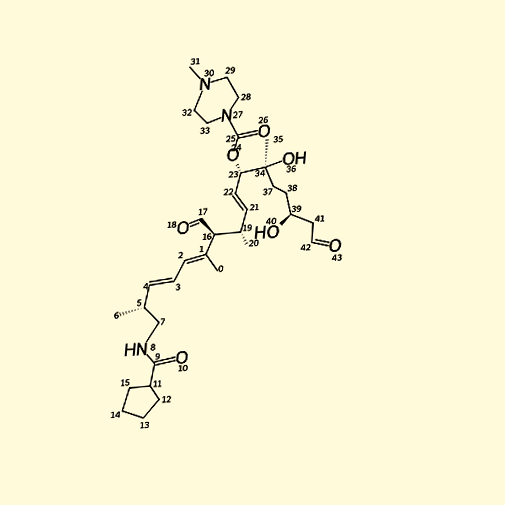 C/C(=C\C=C\[C@@H](C)CNC(=O)C1CCCC1)[C@@H](C=O)[C@@H](C)/C=C/[C@H](OC(=O)N1CCN(C)CC1)[C@@](C)(O)CC[C@H](O)CC=O